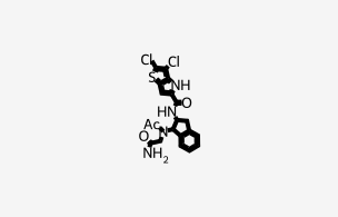 CC(=O)N(CC(N)=O)C1c2ccccc2CC1NC(=O)c1cc2sc(Cl)c(Cl)c2[nH]1